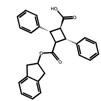 O=C(OC1Cc2ccccc2C1)C1[C@@H](c2ccccc2)[C@H](C(=O)O)[C@H]1c1ccccc1